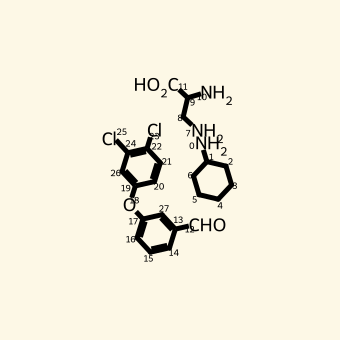 NC1CCCCC1.NCC(N)C(=O)O.O=Cc1cccc(Oc2ccc(Cl)c(Cl)c2)c1